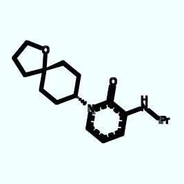 CC(C)Nc1cccn([C@H]2CC[C@]3(CCCO3)CC2)c1=O